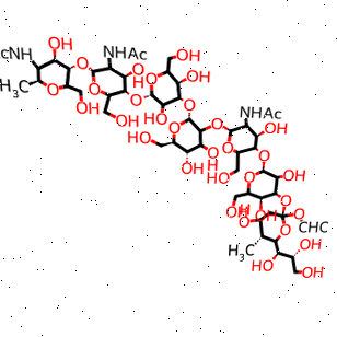 CC(=O)NC1[C@H](O[C@@H]2C(CO)O[C@@H](C)C(NC(C)=O)[C@H]2O)OC(CO)[C@@H](O[C@@H]2OC(CO)[C@@H](O)[C@H](O[C@H]3O[C@H](CO)[C@@H](O)C(O)C3O[C@@H]3OC(CO)[C@@H](O[C@@H]4OC(CO)[C@H](O)[C@H](O[C@]5(OC=O)CC(O)[C@@H](C)C([C@H](O)[C@H](O)CO)O5)C4O)[C@H](O)C3NC(C)=O)C2O)[C@@H]1O